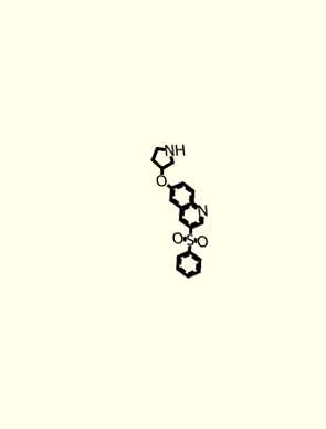 O=S(=O)(c1ccccc1)c1cnc2ccc(OC3CCNC3)cc2c1